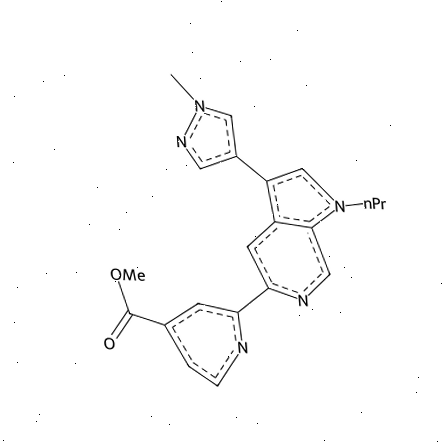 CCCn1cc(-c2cnn(C)c2)c2cc(-c3cc(C(=O)OC)ccn3)ncc21